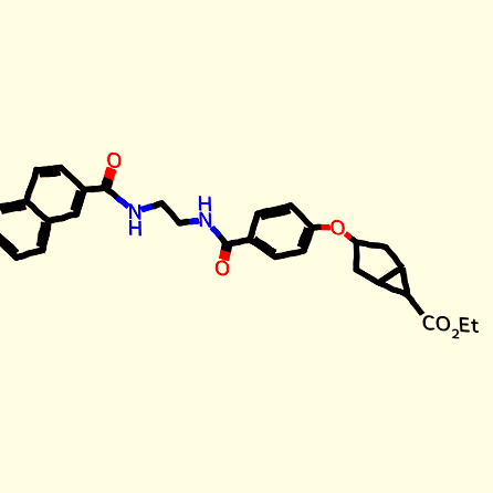 CCOC(=O)C1C2CC(Oc3ccc(C(=O)NCCNC(=O)c4ccc5ccccc5c4)cc3)CC21